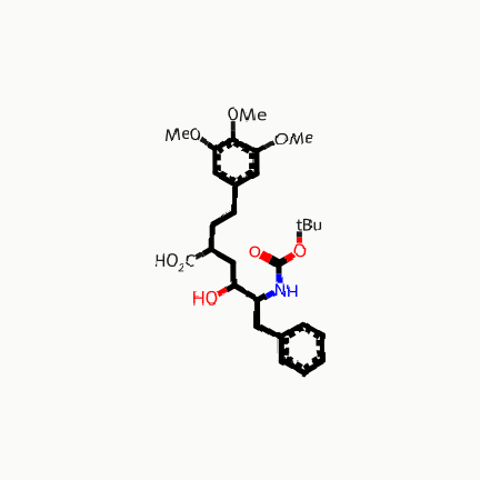 COc1cc(CCC(CC(O)C(Cc2ccccc2)NC(=O)OC(C)(C)C)C(=O)O)cc(OC)c1OC